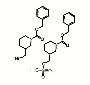 CS(=O)(=O)OCC1CCCN(C(=O)OCc2ccccc2)C1.N#CCC1CCCN(C(=O)OCc2ccccc2)C1